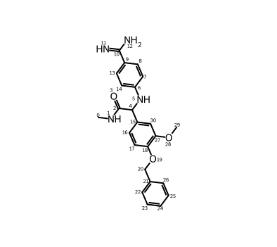 CNC(=O)C(Nc1ccc(C(=N)N)cc1)c1ccc(OCc2ccccc2)c(OC)c1